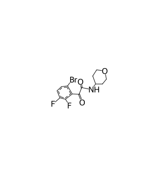 O=C(NC1CCOCC1)C(=O)c1c(Br)ccc(F)c1F